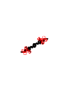 CCOC(=O)C(C)Oc1c(OC)cc(/C=C/c2ccc(/C=C/c3cc(OC)c(OC(C)C(=O)OCC)c(OC)c3)cc2)cc1OC